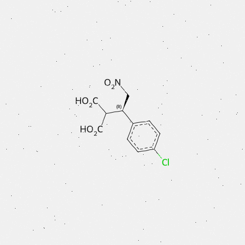 O=C(O)C(C(=O)O)[C@@H](C[N+](=O)[O-])c1ccc(Cl)cc1